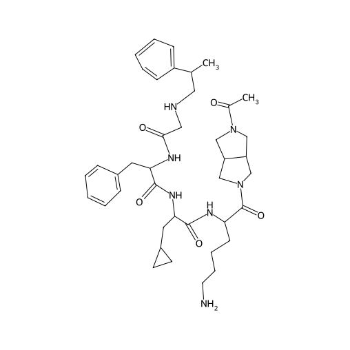 CC(=O)N1CC2CN(C(=O)C(CCCCN)NC(=O)C(CC3CC3)NC(=O)C(Cc3ccccc3)NC(=O)CNCC(C)c3ccccc3)CC2C1